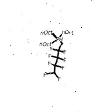 CCCCCCCC[PH](CCCCCCCC)(CCCCCCCC)CC(F)(F)C(F)(F)C(F)(F)C(F)F